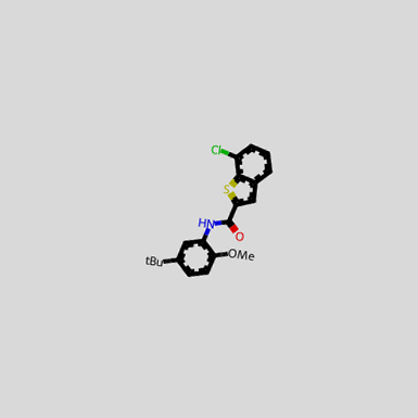 COc1ccc(C(C)(C)C)cc1NC(=O)c1cc2cccc(Cl)c2s1